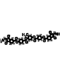 Cc1cc(OC(=O)c2ccc(OC(=O)c3ccc4c(c3)C(=O)N(CN)C4=O)cc2)ccc1OC(=O)c1ccc(OC(=O)c2ccc3c(c2)C(=O)N(CN)C3=O)cc1